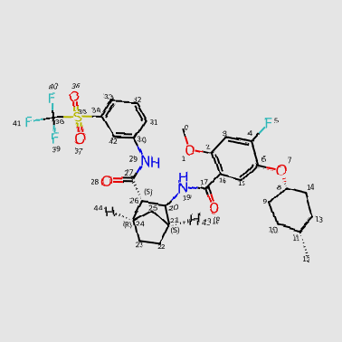 COc1cc(F)c(O[C@H]2CC[C@@H](C)CC2)cc1C(=O)NC1[C@H]2CC[C@H](C2)[C@@H]1C(=O)Nc1cccc(S(=O)(=O)C(F)(F)F)c1